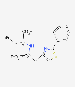 CCOC(=O)[C@H](Cc1csc(-c2ccccc2)n1)N[C@@H](CC(C)C)C(=O)O